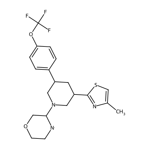 Cc1csc(C2CC(c3ccc(OC(F)(F)F)cc3)CN(C3COCC[N]3)C2)n1